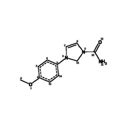 COc1ccc(N2C=CN(C(N)=O)C2)cc1